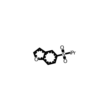 CC(C)S(=O)(=O)c1ccc2occc2c1